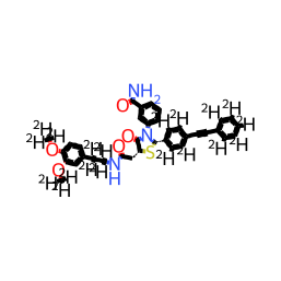 [2H]c1c([2H])c([2H])c(C#Cc2c([2H])c([2H])c([C@@H]3S[C@H](CC(=O)NC([2H])([2H])C([2H])([2H])c4ccc(OC([2H])([2H])[2H])c(OC([2H])([2H])[2H])c4)C(=O)N3c3cccc(C(N)=O)c3)c([2H])c2[2H])c([2H])c1[2H]